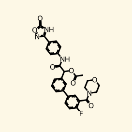 CC(=O)OC(C(=O)Nc1ccc(-c2noc(=O)[nH]2)cc1)c1cccc(-c2ccc(F)c(C(=O)N3CCOCC3)c2)c1